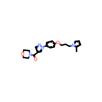 Cc1cccn1CCCOc1ccc(-n2cc(C(=O)N3CCOCC3)cn2)cc1